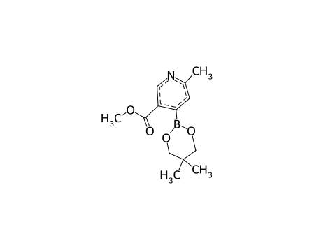 COC(=O)c1cnc(C)cc1B1OCC(C)(C)CO1